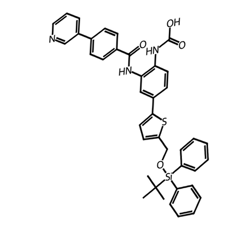 CC(C)(C)[Si](OCc1ccc(-c2ccc(NC(=O)O)c(NC(=O)c3ccc(-c4cccnc4)cc3)c2)s1)(c1ccccc1)c1ccccc1